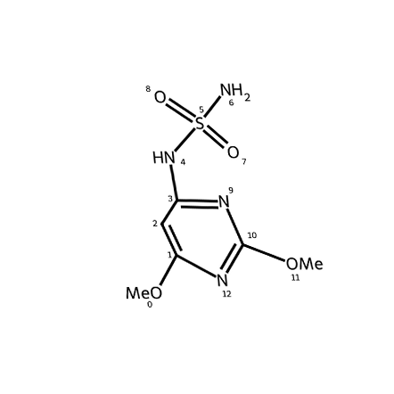 COc1cc(NS(N)(=O)=O)nc(OC)n1